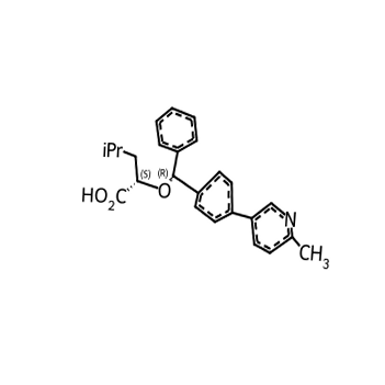 Cc1ccc(-c2ccc([C@H](O[C@@H](CC(C)C)C(=O)O)c3ccccc3)cc2)cn1